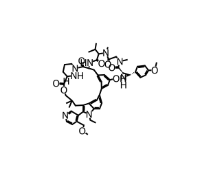 CCn1c(-c2cnccc2COC)c2c3cc(ccc31)-c1cc(O)cc(c1)C[C@H](NC(=O)C(C(C)C)N(C)C(=O)CN(C)C(=O)[C@@H]1N[C@H]1c1ccc(OC)cc1)C(=O)N1CCC[C@H](N1)C(=O)OCC(C)(C)C2